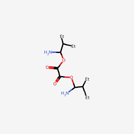 CCC(CC)C(N)OC(=O)C(=O)OC(N)C(CC)CC